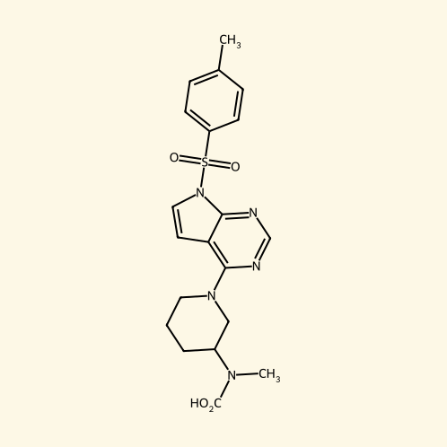 Cc1ccc(S(=O)(=O)n2ccc3c(N4CCCC(N(C)C(=O)O)C4)ncnc32)cc1